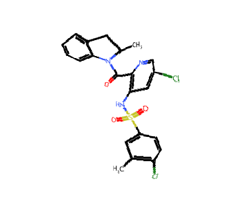 Cc1cc(S(=O)(=O)Nc2cc(Cl)cnc2C(=O)N2c3ccccc3CC2C)ccc1Cl